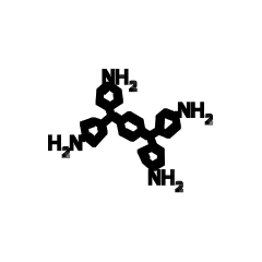 Nc1ccc(C(c2ccc(N)cc2)=c2ccc(=C(c3ccc(N)cc3)c3ccc(N)cc3)cc2)cc1